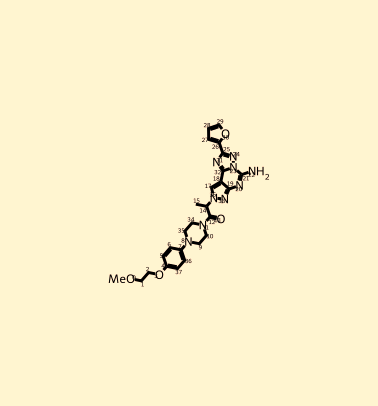 COCCOc1ccc(N2CCN(C(=O)C(C)n3cc4c(nc(N)n5nc(-c6ccco6)nc45)n3)CC2)cc1